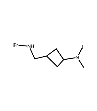 CC(C)NCC1CC(N(C)I)C1